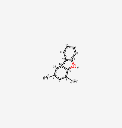 CC(C)c1cc(C(C)C)c2oc3ccccc3c2c1